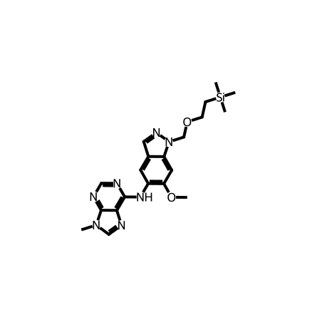 COc1cc2c(cnn2COCC[Si](C)(C)C)cc1Nc1ncnc2c1ncn2C